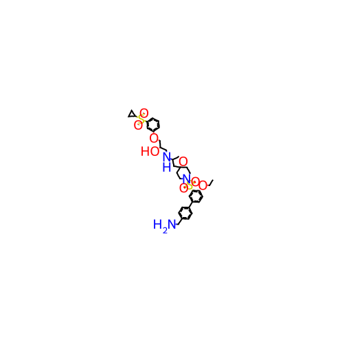 CCOc1ccc(-c2ccc(CN)cc2)cc1S(=O)(=O)N1CCC2(CC1)CC(NCC(O)COc1cccc(S(=O)(=O)C3CC3)c1)CO2